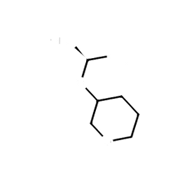 C[C@H](C=O)OC1CCCOC1